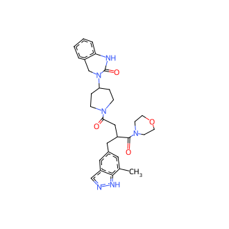 Cc1cc(CC(CC(=O)N2CCC(N3Cc4ccccc4NC3=O)CC2)C(=O)N2CCOCC2)cc2cn[nH]c12